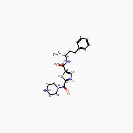 O=C[C@H](CCc1ccccc1)NC(=O)c1cnc(C(=O)N2CCNCC2)s1